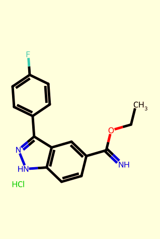 CCOC(=N)c1ccc2[nH]nc(-c3ccc(F)cc3)c2c1.Cl